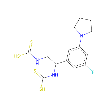 Fc1cc(C(CNC(=S)S)NC(=S)S)cc(N2CCCC2)c1